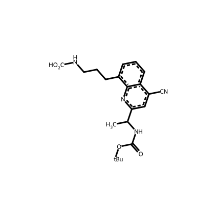 CC(NC(=O)OC(C)(C)C)c1cc(C#N)c2cccc(CCCNC(=O)O)c2n1